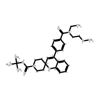 CCN(CCOC)C(=O)c1ccc(C2=CC3(CCN(C(=O)OC(C)(C)C)CC3)Oc3ccccc32)cc1